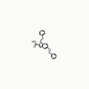 O=C(O)c1cc2cc(OCc3ccccc3)ccc2n1CCc1ccccc1